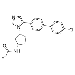 CCC(=O)N[C@H]1CC[C@@H](n2cncc2-c2ccc(-c3ccc(Cl)cc3)cc2)C1